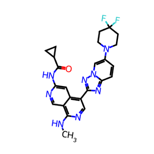 CNc1ncc(-c2nc3ccc(N4CCC(F)(F)CC4)cn3n2)c2cc(NC(=O)C3CC3)ncc12